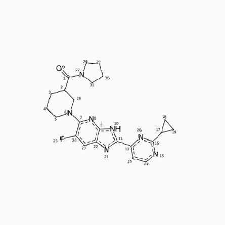 O=C(C1CCCN(c2nc3[nH]c(-c4ccnc(C5CC5)n4)nc3cc2F)C1)N1CCCC1